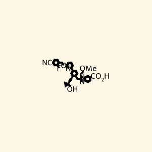 COCCn1c(Cc2ccc(-c3cccc(OCc4ccc(C#N)cc4F)n3)cc2C#CC2(CO)CC2)nc2ccc(C(=O)O)cc21